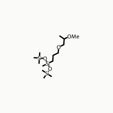 COC(C)COCCC[Si](C)(O[Si](C)(C)C)O[Si](C)(C)C